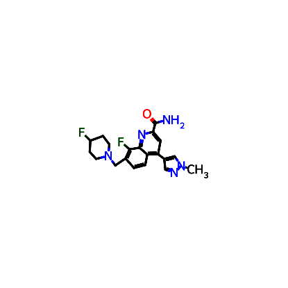 Cn1cc(-c2cc(C(N)=O)nc3c(F)c(CN4CCC(F)CC4)ccc23)cn1